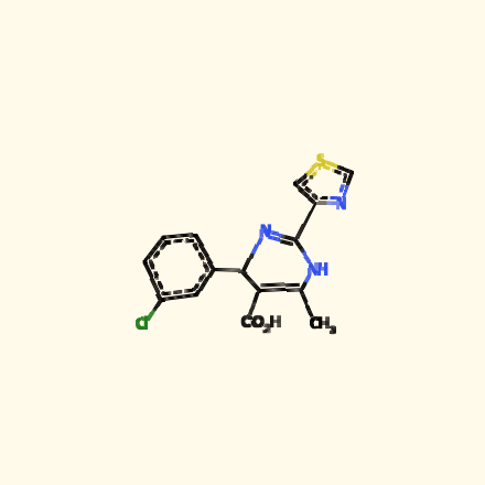 CC1=C(C(=O)O)C(c2cccc(Cl)c2)N=C(c2cscn2)N1